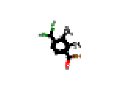 Cc1c(C(=O)S)ccc(C(F)F)c1C